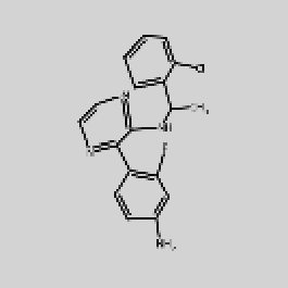 CC(Nc1nccnc1-c1ccc(N)cc1F)c1ccccc1Cl